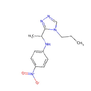 CCCn1cnnc1C(C)Nc1ccc([N+](=O)[O-])cc1